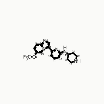 FC(F)(F)Oc1ccc2ncc(-c3cccc(NC4CCNCC4)n3)n2c1